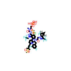 CN(CCOP(=O)(O)O)C(=O)N(c1nn(CC(F)(F)F)c2c(-c3ccc(C#CC(C)(C)S(C)(=O)=O)nc3C(Cc3cc(F)cc(F)c3)NC(=O)Cn3nc(C(F)(F)F)c4c3C(F)(F)[C@@H]3C[C@H]43)ccc(Cl)c12)S(C)(=O)=O